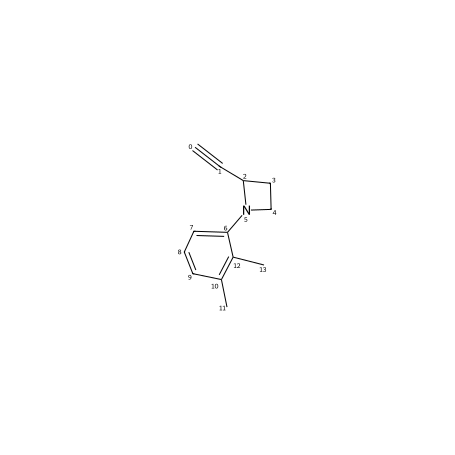 C#CC1CCN1c1cccc(C)c1C